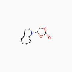 O=C1OCC(n2ccc3ccccc32)O1